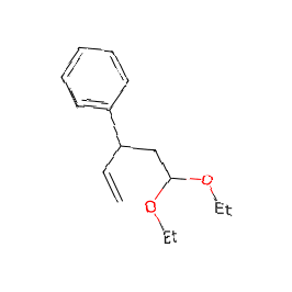 C=CC(CC(OCC)OCC)c1ccccc1